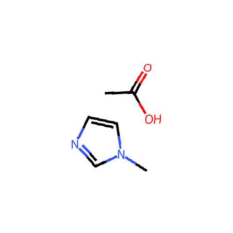 CC(=O)O.Cn1ccnc1